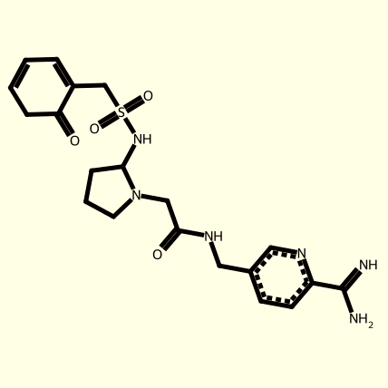 N=C(N)c1ccc(CNC(=O)CN2CCCC2NS(=O)(=O)CC2=CC=CCC2=O)cn1